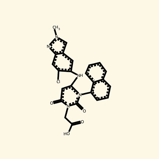 Cn1cc2cc(Nc3cc(=O)n(CC(=O)O)c(=O)n3-c3cccc4ccccc34)c(Cl)cc2n1